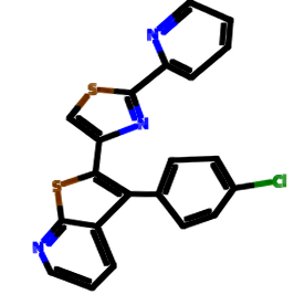 Clc1ccc(-c2c(-c3csc(-c4ccccn4)n3)sc3ncccc23)cc1